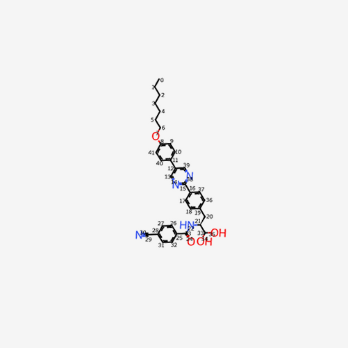 CCCCCCCOc1ccc(-c2cnc(-c3ccc(C[C@H](NC(=O)c4ccc(C#N)cc4)C(O)O)cc3)nc2)cc1